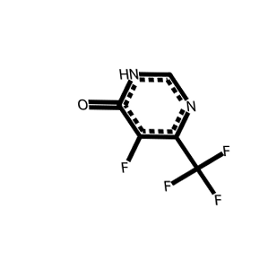 O=c1[nH]cnc(C(F)(F)F)c1F